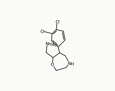 CC(=O)NCC1OCCNCC1c1ccc(Cl)c(Cl)c1